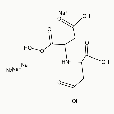 O=C(O)CC(NC(CC(=O)O)C(=O)OO)C(=O)O.[Na+].[Na+].[Na+].[Na+]